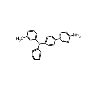 Cc1cccc(N(c2ccccc2)c2ccc(-c3ccc(N)cc3)cc2)c1